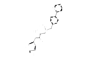 C=C/C=C\C(=C/C)CC(N)C(O)CN(N)Cc1ccc(-c2ccccn2)cc1